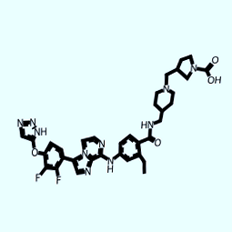 CCc1cc(Nc2nccn3c(-c4ccc(Oc5cnn[nH]5)c(F)c4F)cnc23)ccc1C(=O)NCC1CCN(CC2CCN(C(=O)O)C2)CC1